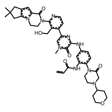 C=CC(=O)Nc1cc(Nc2nc(-c3ccnc(N4CCn5c(cc6c5CC(C)(C)C6)C4=O)c3CO)cn(C)c2=O)ccc1N1CCN(C2CCOCC2)CC1=O